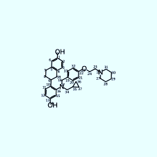 Oc1ccc2c(c1)CCC(c1ccc(O)cc1N(Cc1ccc(OCCN3CCCCC3)cc1)CC1CC1)C2